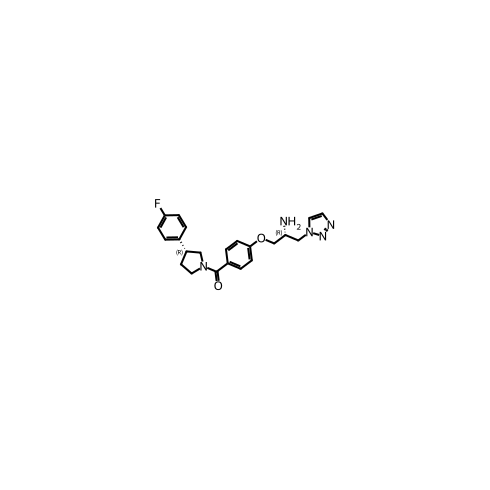 N[C@@H](COc1ccc(C(=O)N2CC[C@H](c3ccc(F)cc3)C2)cc1)Cn1ccnn1